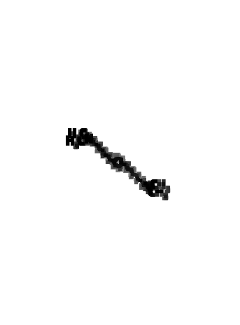 CCN(CC)CCCCCCCCc1ccc(CCCCCCCCN(CC)CC)cc1